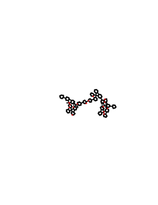 CC1(C)c2cc(-c3ccccc3)ccc2-c2ccc(N(c3ccc(-c4ccc(-c5ccc(-c6cccc(C7(c8ccccc8)c8ccccc8-c8ccc(-c9ccc(N(c%10ccc%11c(c%10)C%10(c%12ccccc%12-c%12ccccc%12%10)c%10ccccc%10-%11)c%10ccc(-c%11ccccc%11)cc%10-c%10ccccc%10)cc9)cc87)c6)cc5)cc4)cc3)c3ccc4c(c3)C3(c5ccccc5-c5ccccc53)c3ccccc3-4)cc21